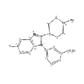 CCOC(=O)c1cccc(-n2c(C3CCN(C(C)=O)CC3)nc3cc(C)ccc32)c1